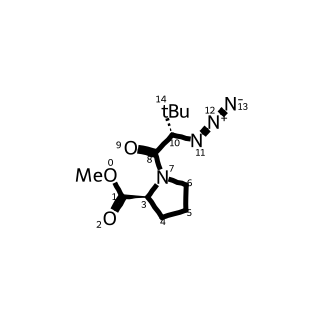 COC(=O)[C@@H]1CCCN1C(=O)[C@@H](N=[N+]=[N-])C(C)(C)C